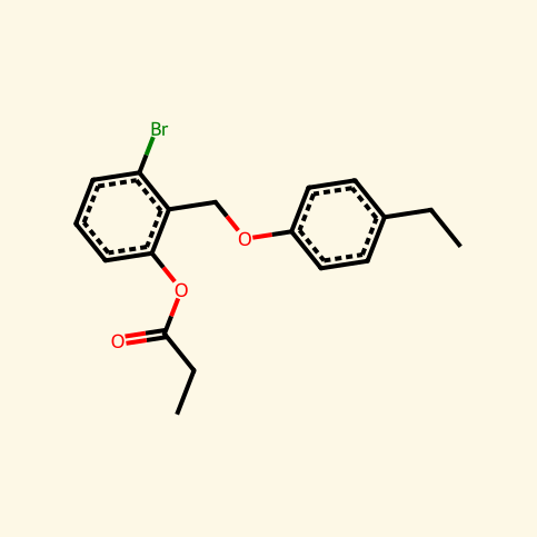 CCC(=O)Oc1cccc(Br)c1COc1ccc(CC)cc1